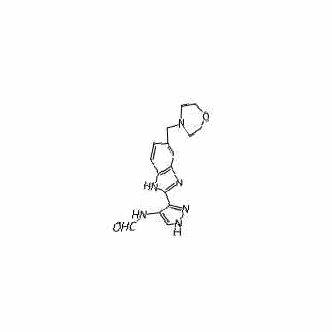 O=CNc1c[nH]nc1-c1nc2cc(CN3CCOCC3)ccc2[nH]1